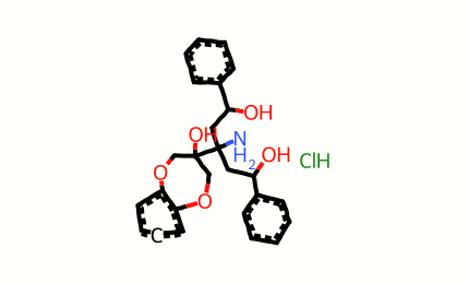 Cl.NC(CC(O)c1ccccc1)(CC(O)c1ccccc1)C1(O)COc2ccccc2OC1